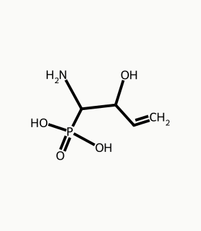 C=CC(O)C(N)P(=O)(O)O